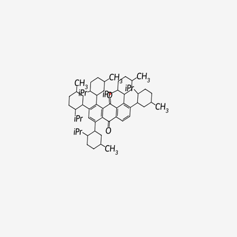 CC1CCC(C(C)C)C(c2cc(C3CC(C)CCC3C(C)C)c(C3CC(C)CCC3C(C)C)c3c2C(=O)c2ccc(C4CC(C)CCC4C(C)C)c(C4CC(C)CCC4C(C)C)c2C3=O)C1